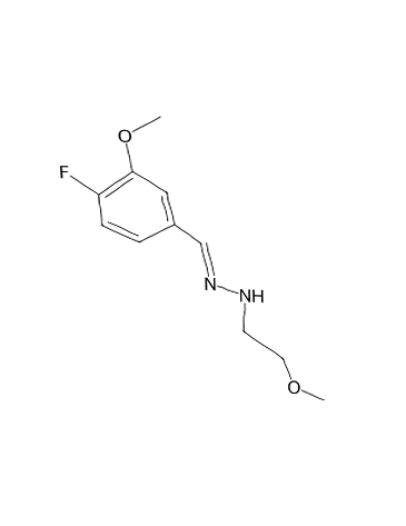 COCCN/N=C/c1ccc(F)c(OC)c1